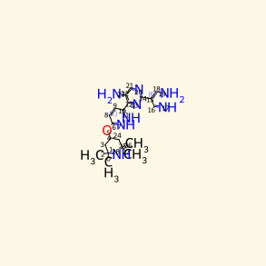 CC1(C)CC(OC(=N)/C=C\C(=N)c2nc(/C(C=N)=C/N)ncc2N)CC(C)(C)N1